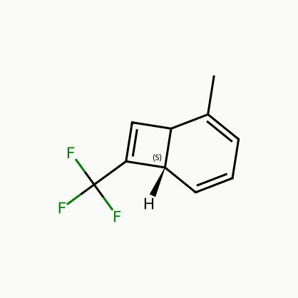 CC1=CC=C[C@@H]2C(C(F)(F)F)=CC12